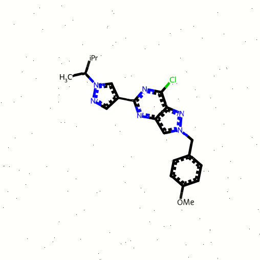 COc1ccc(Cn2cc3nc(-c4cnn(C(C)C(C)C)c4)nc(Cl)c3n2)cc1